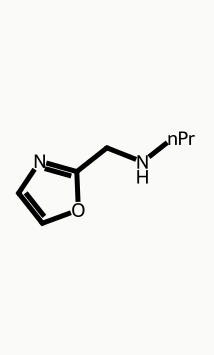 CCCNCc1ncco1